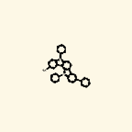 Cc1ccc2c(c1)c1c(ccc3c4cc(-c5ccccc5)ccc4n(-c4ccccc4)c31)n2-c1ccccc1